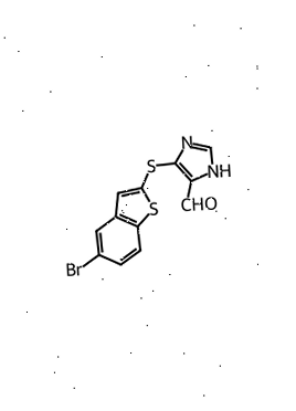 O=Cc1[nH]cnc1Sc1cc2cc(Br)ccc2s1